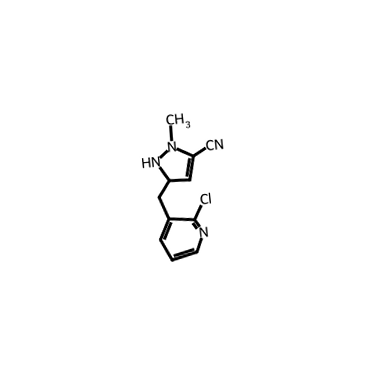 CN1NC(Cc2cccnc2Cl)C=C1C#N